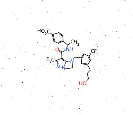 CC(NC(=O)c1c(C(F)(F)F)nn2c1N(Cc1cc(CCCO)cc(C(F)(F)F)c1)CC2)c1ccc(C(=O)O)cc1